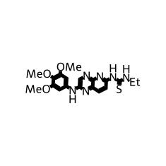 CCNC(=S)Nc1ccc2nc(Nc3cc(OC)c(OC)c(OC)c3)cnc2n1